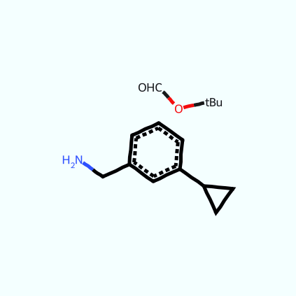 CC(C)(C)OC=O.NCc1cccc(C2CC2)c1